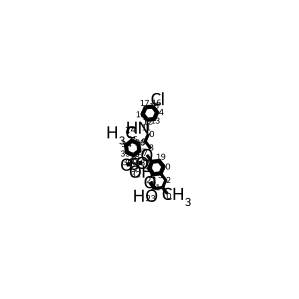 CC(Cc1ccc(OCCCNc2ccc(Cl)cc2)cc1)C(=O)O.Cc1ccc(S(=O)(=O)O)cc1